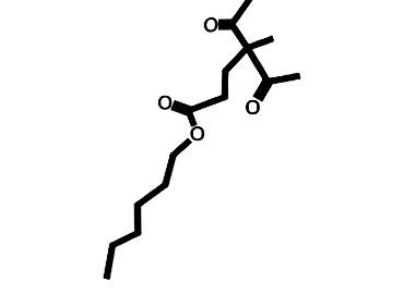 CCCCCCOC(=O)CCC(C)(C(C)=O)C(C)=O